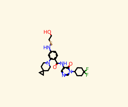 O=C(Nc1cncn(C2CCC(F)(F)CC2)c1=O)c1ccc(NSCCO)cc1N1CCC2(CC1)CC2